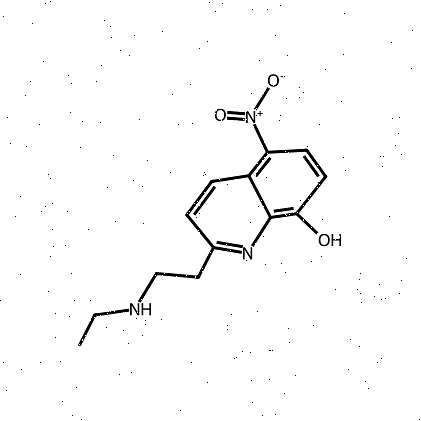 CCNCCc1ccc2c([N+](=O)[O-])ccc(O)c2n1